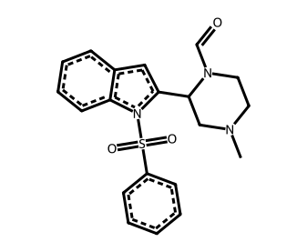 CN1CCN(C=O)C(c2cc3ccccc3n2S(=O)(=O)c2ccccc2)C1